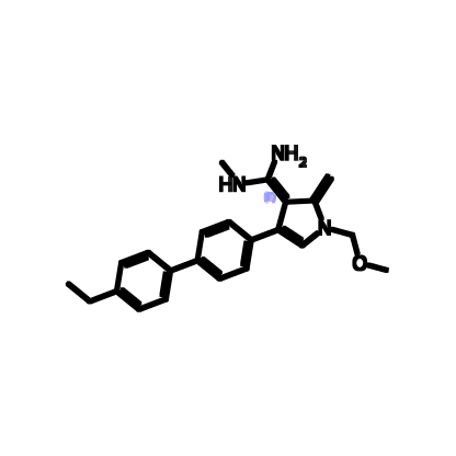 C=c1/c(=C(\N)NC)c(-c2ccc(-c3ccc(CC)cc3)cc2)cn1COC